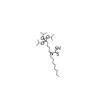 CCCCCCCCN(CCCC[Si](OC(C)C)(OC(C)C)OC(C)C)C(=S)S